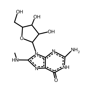 CNc1nc2c(=O)[nH]c(N)nc2n1C1OC(CO)C(O)C1O